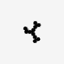 c1ccc(N(c2ccccc2)c2ccc(-c3ccc(N(c4ccc(-c5ccc(N(c6ccccc6)c6ccccc6)cc5)cc4)c4ccc(-c5cccc6c5sc5ccccc56)cc4)cc3)cc2)cc1